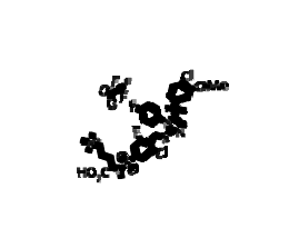 COc1cc(C(C)(C)c2cnc(SCc3c(F)cc(S(=O)(=O)N(C)[C@@H](CCC[N+](C)(C)C)C(=O)O)cc3Cl)n2-c2ccc(F)cc2)ccc1Cl.O=C([O-])C(F)(F)F